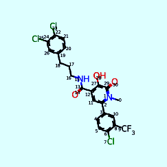 Cn1c(-c2ccc(Cl)c(C(F)(F)F)c2)cc(C(=O)NCCCc2ccc(Cl)c(Cl)c2)c(O)c1=O